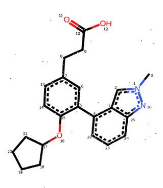 Cn1cc2c(-c3cc(CCC(=O)O)ccc3OC3CCCC3)cccc2n1